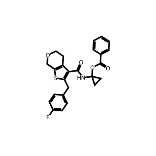 O=C(OC1(NC(=O)c2c(Cc3ccc(F)cc3)sc3c2CCOC3)CC1)c1ccccc1